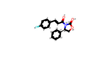 O=C(/C=C/c1ccc(F)cc1)N1C(=O)OC[C@H]1c1ccccc1